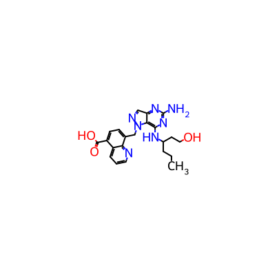 CCCC(CCO)Nc1nc(N)nc2cnn(Cc3ccc(C(=O)O)c4cccnc34)c12